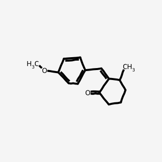 COc1ccc(/C=C2\C(=O)CCCC2C)cc1